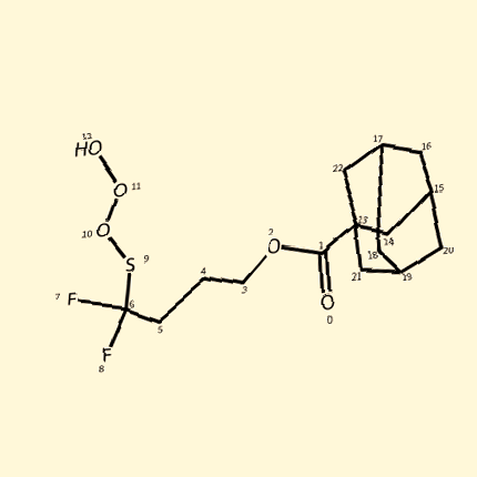 O=C(OCCCC(F)(F)SOOO)C12CC3CC(CC(C3)C1)C2